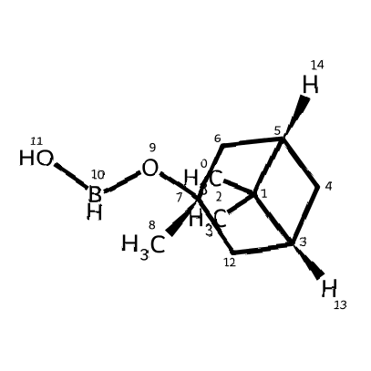 CC1(C)[C@@H]2C[C@H]1C[C@@](C)(OBO)C2